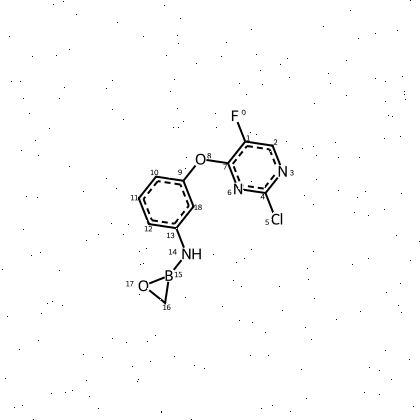 Fc1cnc(Cl)nc1Oc1cccc(NB2CO2)c1